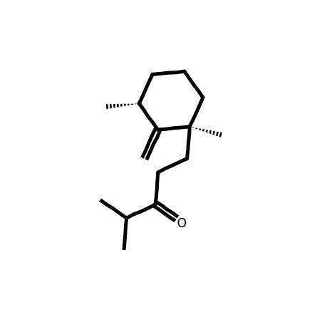 C=C1[C@H](C)CCC[C@@]1(C)CCC(=O)C(C)C